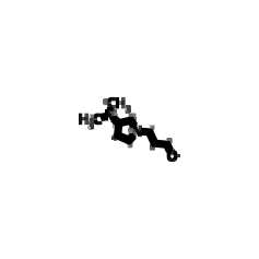 CN(C)C1CCN(CCC[O])C1